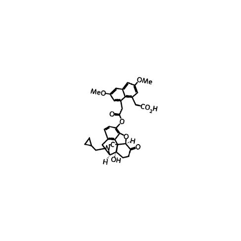 COc1cc(CC(=O)O)c2c(CC(=O)Oc3ccc4c5c3O[C@H]3C(=O)CC[C@@]6(O)[C@@H](C4)N(CC4CC4)CC[C@]536)cc(OC)cc2c1